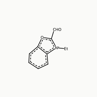 CC[n+]1c(C=O)oc2ccccc21